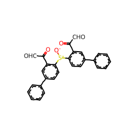 O=CC(=O)c1cc(-c2ccccc2)ccc1[S+]([O-])c1ccc(-c2ccccc2)cc1C(=O)C=O